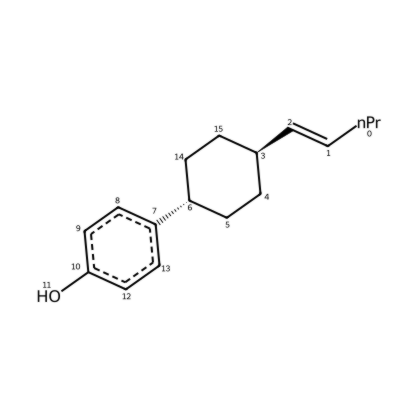 CCCC=C[C@H]1CC[C@H](c2ccc(O)cc2)CC1